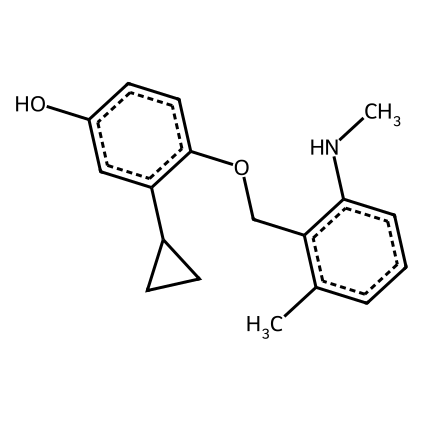 CNc1cccc(C)c1COc1ccc(O)cc1C1CC1